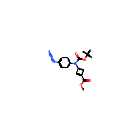 COC(=O)C1CC(N(C(=O)OC(C)(C)C)C2CCC(N=[N+]=[N-])CC2)C1